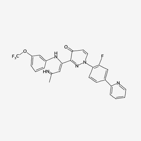 CC(=N)/C=C(\Nc1cccc(OC(F)(F)F)c1)c1nn(-c2ccc(-c3ccccn3)cc2F)ccc1=O